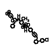 Cc1cc(S(=O)(=O)NC(=O)c2ccc(N3CCN(Cc4ccccc4-c4ccc(Cl)cc4)CC3)cc2)ccc1N[C@@H](CSc1ccccc1)CC(=O)N1CCS(=O)(=O)CC1